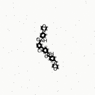 Cc1ccc(C(=O)Nc2ccc(N3CCOCC3)cc2)cc1-c1ccc(NC(=O)c2ccc(CN3CCOCC3)cc2)cc1